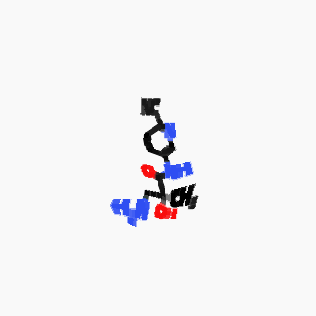 C[C@](O)(CN)C(=O)Nc1ccc(C#N)nc1